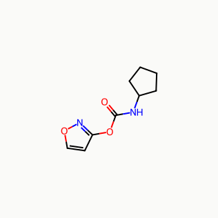 O=C(NC1CCCC1)Oc1ccon1